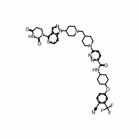 N#Cc1ccc(OC2CCC(NC(=O)c3ccc(N4CCC(CN5CCC(n6ncc7c(N8CCC(=O)NC8=O)nccc76)CC5)CC4)nn3)CC2)cc1C(F)(F)F